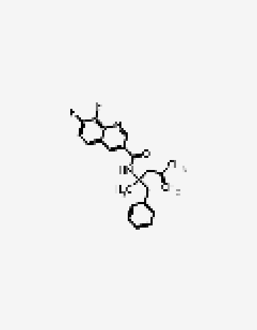 C=C(C)CC(C)(Cc1ccccc1)NC(=O)c1cnc2c(F)c(F)ccc2c1